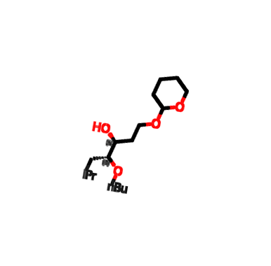 CCCCO[C@H](CC(C)C)[C@@H](O)CCOC1CCCCO1